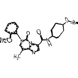 CCCCOC1CCC(NC(=O)c2cnc3c(C)cn(-c4ccccc4OC)c(=O)n23)CC1